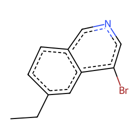 CCc1ccc2cncc(Br)c2c1